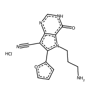 Cl.N#Cc1c(-c2ccco2)n(CCCN)c2c(=O)[nH]cnc12